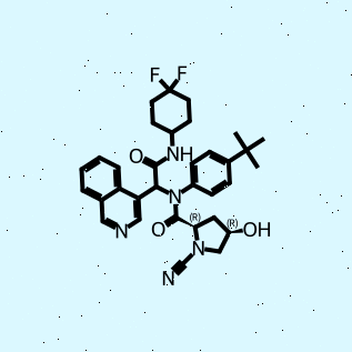 CC(C)(C)c1ccc(N(C(=O)[C@H]2C[C@@H](O)CN2C#N)C(C(=O)NC2CCC(F)(F)CC2)c2cncc3ccccc23)cc1